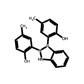 Cc1ccc(O)c(N2Nc3ccccc3N2c2cc(C)ccc2O)c1